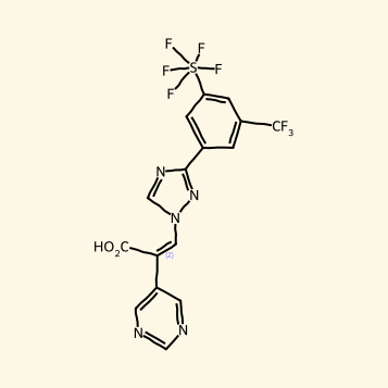 O=C(O)/C(=C\n1cnc(-c2cc(C(F)(F)F)cc(S(F)(F)(F)(F)F)c2)n1)c1cncnc1